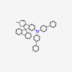 CC1C=CC2=C(C1)C1(c3cc(N(c4ccc(-c5ccccc5)cc4)c4ccc(-c5ccccc5)cc4)ccc32)c2ccccc2-c2ccccc21